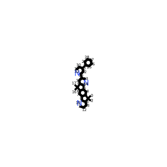 CC1(C)c2cc3c(cc2-c2ncccc21)C(C)(C)c1cc(-c2cc(-c4ccccc4)ccn2)cnc1-3